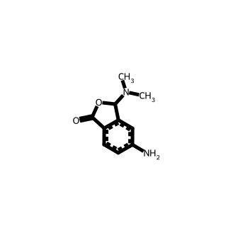 CN(C)C1OC(=O)c2ccc(N)cc21